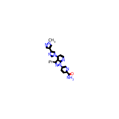 CC(C)c1nn(-c2ccc(C(N)=O)nc2)c2nccc(-n3cnc(-c4cnn(C)c4)c3)c12